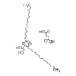 CCCCCCCCCCCCCCCC(=O)OC(C(=O)CCCCCCCCCCCCCCC)C(O)CO.O=C(O)CCC(=O)O